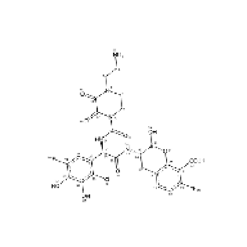 NCCN1CCN(C(=O)N[C@@H](C(=O)N[C@H]2Cc3ccc(F)c(C(=O)O)c3OB2O)c2cc(F)c(O)c(O)c2Cl)C(=O)C1=O